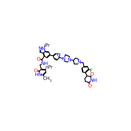 CCCc1cc(C)[nH]c(=O)c1CNC(=O)c1cc(-c2ccc(N3CCN(C4CCN(Cc5ccc(C6CCC(=O)NC6=O)c(F)c5)CC4)CC3)nc2)cc2c1cnn2C(C)C